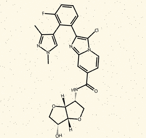 Cc1nn(C)cc1-c1c(F)cccc1-c1nc2cc(C(=O)N[C@@H]3CO[C@H]4[C@@H]3OC[C@H]4O)ccn2c1Cl